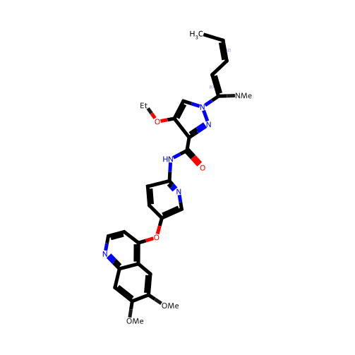 C/C=C\C=C(/NC)n1cc(OCC)c(C(=O)Nc2ccc(Oc3ccnc4cc(OC)c(OC)cc34)cn2)n1